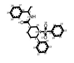 CC(NC(=O)[C@@H]1CC[C@H](c2ccccc2)N(S(=O)(=O)c2ccccc2)C1)c1ccccc1